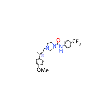 COc1ccc(/C(C)=C/CN2CCN(C(=O)Nc3ccc(C(F)(F)F)cc3)CC2)cc1